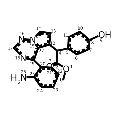 COC(=O)C(c1ccc(O)cc1)c1ccn2ncnc(-c3ccccc3N)c12